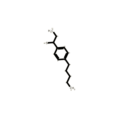 CCCCCc1ccc(C([S])CC)cc1